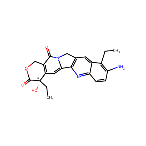 CCc1c(N)ccc2nc3c(cc12)Cn1c-3cc2c(c1=O)COC(=O)[C@]2(O)CC